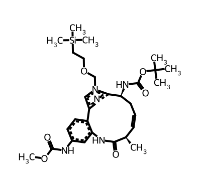 COC(=O)Nc1ccc2c(c1)NC(=O)[C@H](C)C=CC[C@H](NC(=O)OC(C)(C)C)c1nc-2cn1COCC[Si](C)(C)C